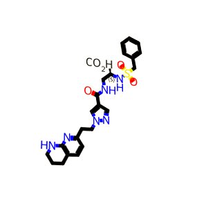 O=C(NC[C@H](NS(=O)(=O)Cc1ccccc1)C(=O)O)c1cnn(CCc2ccc3c(n2)NCCC3)c1